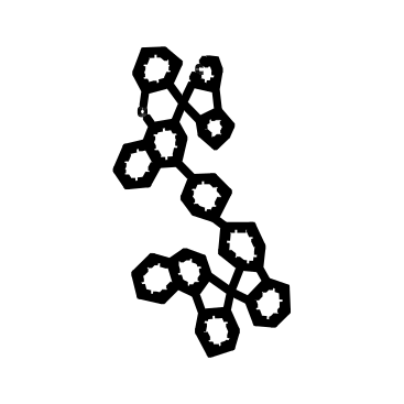 c1ccc2c(c1)Oc1c(cc(-c3ccc(-c4ccc5c(c4)C4(c6ccccc6-5)c5ccccc5-c5c4ccc4ccccc54)cc3)c3ccccc13)C21c2ccccc2-c2ccccc21